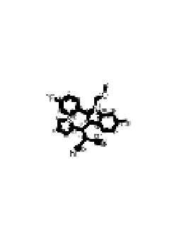 COCn1c(-c2ccc(F)cc2)c(C(c2cccs2)C(C#N)C#N)c2ccc(C)cc21